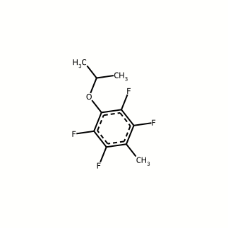 Cc1c(F)c(F)c(OC(C)C)c(F)c1F